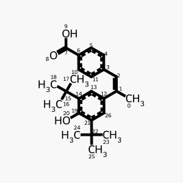 CC(=Cc1ccc(C(=O)O)cc1)c1cc(C(C)(C)C)c(O)c(C(C)(C)C)c1